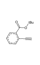 C#Cc1ccccc1C(=O)OC(C)(C)C